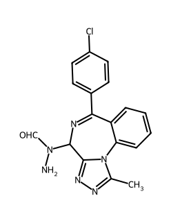 Cc1nnc2n1-c1ccccc1C(c1ccc(Cl)cc1)=NC2N(N)C=O